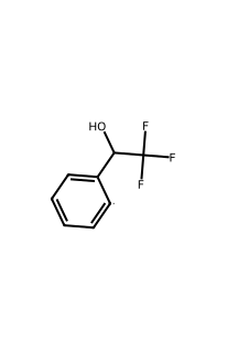 OC(c1[c]cccc1)C(F)(F)F